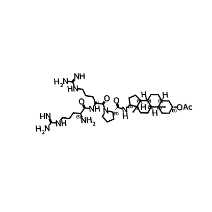 CC(=O)O[C@H]1CC[C@@]2(C)[C@@H](CC[C@@H]3[C@@H]2CC[C@]2(C)[C@@H](NC(=O)[C@@H]4CCCN4C(=O)[C@H](CCCNC(=N)N)NC(=O)[C@@H](N)CCCNC(=N)N)CC[C@@H]32)C1